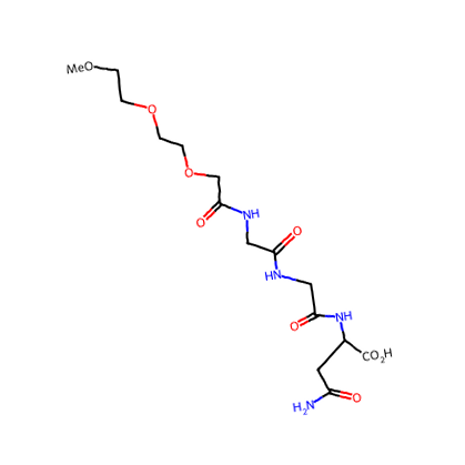 COCCOCCOCC(=O)NCC(=O)NCC(=O)NC(CC(N)=O)C(=O)O